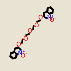 [O-][n+]1cc(OCCOCCOCCOCCOc2cc3ccccc3[n+]([O-])c2)cc2ccccc21